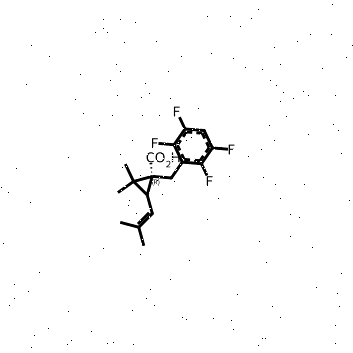 CC(C)=CC1C(C)(C)[C@]1(Cc1c(F)c(F)cc(F)c1F)C(=O)O